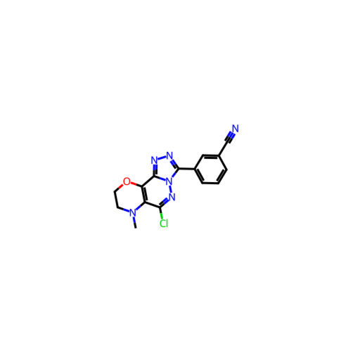 CN1CCOc2c1c(Cl)nn1c(-c3cccc(C#N)c3)nnc21